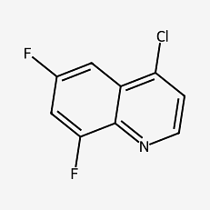 Fc1cc(F)c2nccc(Cl)c2c1